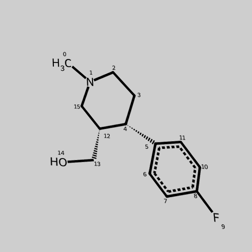 CN1CC[C@H](c2ccc(F)cc2)[C@H](CO)C1